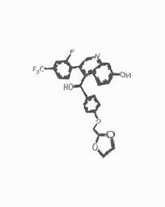 Oc1ccc2c(C(O)c3ccc(OCC4OCCO4)cc3)c(-c3ccc(C(F)(F)F)cc3F)cnc2c1